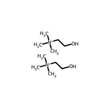 C[N+](C)(C)CCO.C[N+](C)(C)CCO